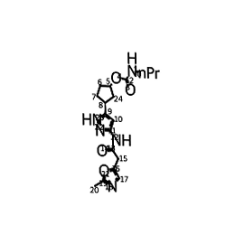 CCCNC(=O)O[C@@H]1CC[C@H](c2cc(NC(=O)Cc3cnc(C)o3)n[nH]2)C1